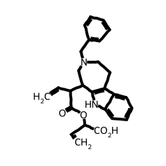 C=CC(OC(=O)C(C=C)C1CN(Cc2ccccc2)CCc2c1[nH]c1ccccc21)C(=O)O